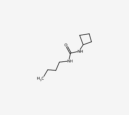 CCCCNC(=O)NC1CCC1